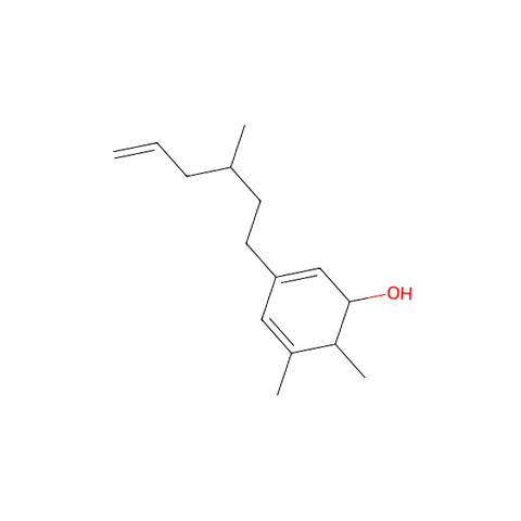 C=CCC(C)CCC1=CC(O)C(C)C(C)=C1